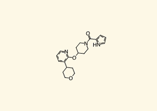 O=C(c1ccc[nH]1)N1CCC(Oc2ncccc2C2CCOCC2)CC1